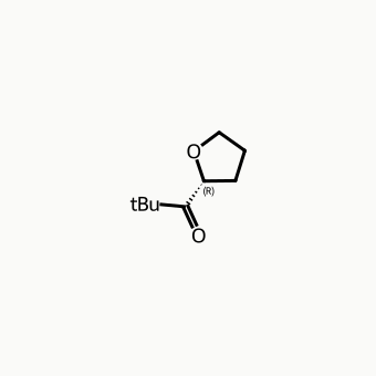 CC(C)(C)C(=O)[C@H]1CCCO1